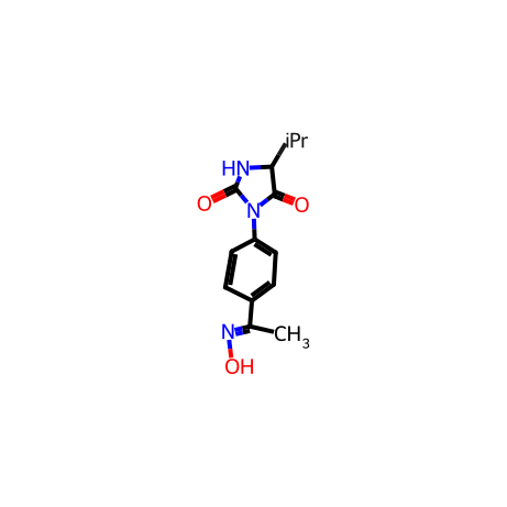 C/C(=N\O)c1ccc(N2C(=O)NC(C(C)C)C2=O)cc1